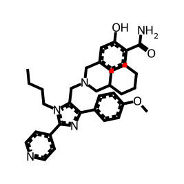 CCCCn1c(-c2ccncc2)nc(-c2ccc(OC)cc2)c1CN(Cc1ccc(C(N)=O)c(O)c1)CC1CCCCC1